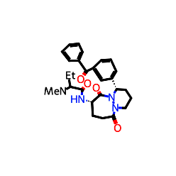 CCC(NC)C(=O)N[C@H]1CCC(=O)N2CCC[C@@H](c3cccc(C(=O)c4ccccc4)c3)N2C1=O